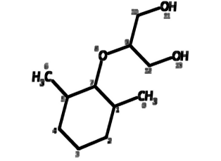 CC1CCCC(C)C1OC(CO)CO